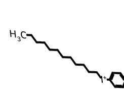 CCCCCCCCCCCC[I+]c1ccccc1